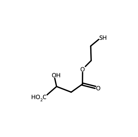 O=C(CC(O)C(=O)O)OCCS